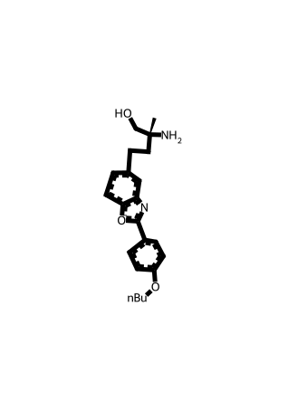 CCCCOc1ccc(-c2nc3cc(CC[C@@](C)(N)CO)ccc3o2)cc1